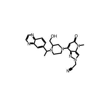 CC(c1ccc2nccnc2c1)N1CCN(c2cc(=O)n(C)c3cn(CC#N)nc23)CC1CO